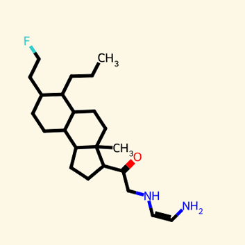 CCCC1C(CCF)CCC2C1CCC1(C)C(C(=O)CN/C=C\N)CCC21